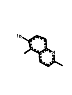 Cc1ccc2c(C)c(S)ccc2n1